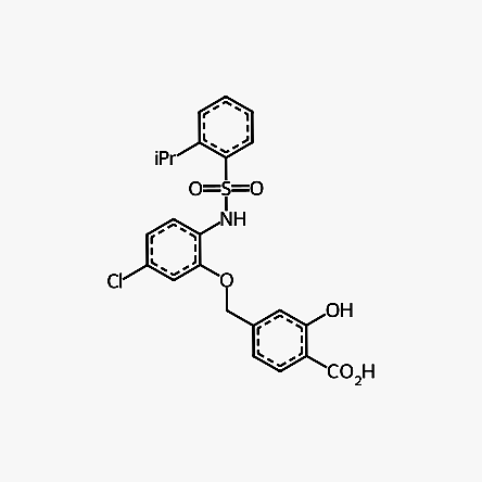 CC(C)c1ccccc1S(=O)(=O)Nc1ccc(Cl)cc1OCc1ccc(C(=O)O)c(O)c1